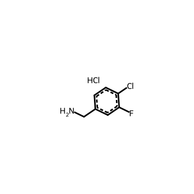 Cl.NCc1ccc(Cl)c(F)c1